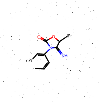 C/C=C\C(=C/CCC)N1C(=N)C(C(C)C)OC1=O